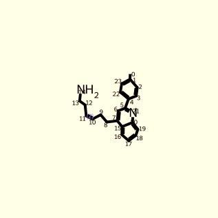 Cc1ccc(-c2cc(CC/C=C\CCN)c3ccccc3n2)cc1